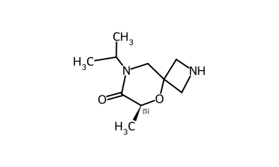 CC(C)N1CC2(CNC2)O[C@@H](C)C1=O